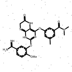 COc1ccc(C(=N)N)cc1OC1=NC(Oc2cc(C)cc(C(=O)N(C)C)c2)=C2NC(=O)CN=C2N1